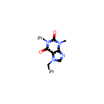 CC(C)Cn1cnc2c1c(=O)n(C(C)C)c(=O)n2C